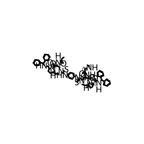 CCC(=O)N[C@H]1CN(C(=S)Nc2ccc(NC(=S)N3CC[C@H]4CC[C@@H](C(=O)NC(c5ccccc5)c5ccccc5)N4C(=O)[C@@H](NC(=O)[C@H](C)NC)C3)cc2)CC[C@H]2CCC(C(=O)NC(c3ccccc3)c3ccccc3)N2C1=O